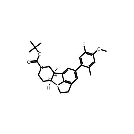 COc1cc(C)c(-c2cc3c4c(c2)[C@@H]2CN(C(=O)OC(C)(C)C)CC[C@@H]2N4CC3)cc1F